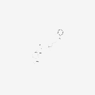 Cc1cccc(C)c1C(=O)OCCCC(C)(C)COS(=O)(=O)ON1C(=O)N2C[C@H]1CC[C@H]2C(N)=O